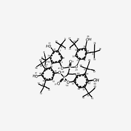 CC(P(=O)(Oc1cc(C(C)(C)C)c(O)c(C(C)(C)C)c1)Oc1cc(C(C)(C)C)c(O)c(C(C)(C)C)c1)P(=O)(Oc1cc(C(C)(C)C)c(O)c(C(C)(C)C)c1)Oc1cc(C(C)(C)C)c(O)c(C(C)(C)C)c1